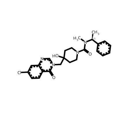 C[C@@H](c1ccccc1)N(C)C(=O)N1CCC(O)(Cn2cnc3cc(Cl)ccc3c2=O)CC1